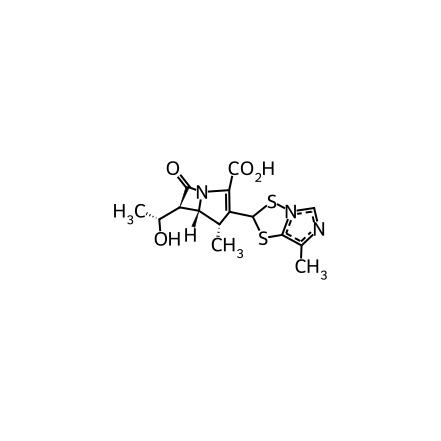 Cc1ncn2c1SC(C1=C(C(=O)O)N3C(=O)[C@H]([C@@H](C)O)[C@H]3[C@H]1C)S2